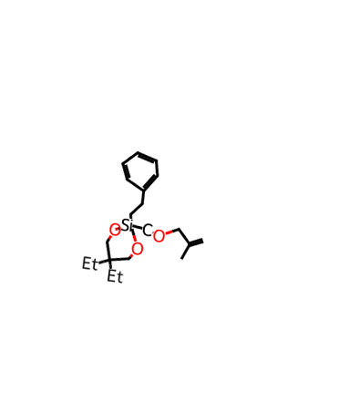 C=C(C)COC[Si]1(CCc2ccccc2)OCC(CC)(CC)CO1